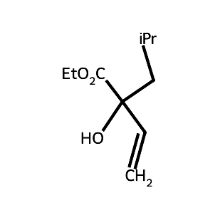 C=CC(O)(CC(C)C)C(=O)OCC